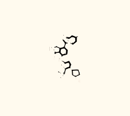 CN(C)Cc1nc(Nc2ccc(-c3cnc4cc(F)ccn34)c3c2C(=O)NC3)ccc1[C@H]1CC[C@H](O)C1